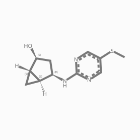 CSc1cnc(N[C@@H]2C[C@H](O)[C@H]3C[C@@H]32)nc1